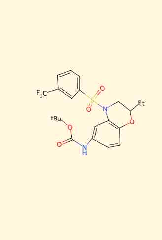 CCC1CN(S(=O)(=O)c2cccc(C(F)(F)F)c2)c2cc(NC(=O)OC(C)(C)C)ccc2O1